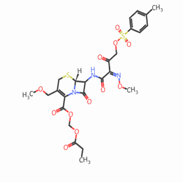 CCC(=O)OCOC(=O)C1=C(COC)CS[C@@H]2C(NC(=O)/C(=N\OC)C(=O)COS(=O)(=O)c3ccc(C)cc3)C(=O)N12